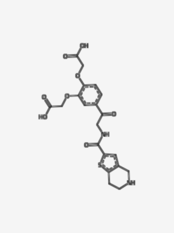 O=C(O)COc1ccc(C(=O)CNC(=O)c2cc3c(s2)CCNC3)cc1OCC(=O)O